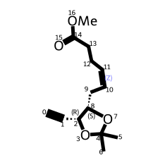 C#C[C@H]1OC(C)(C)O[C@H]1C/C=C\CCC(=O)OC